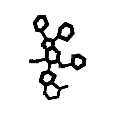 COc1c(-c2ccc3c(c2)N(C)CCO3)c(Nc2ccccn2)nc2c(-c3ccccc3)c(-c3ccccc3)nn12